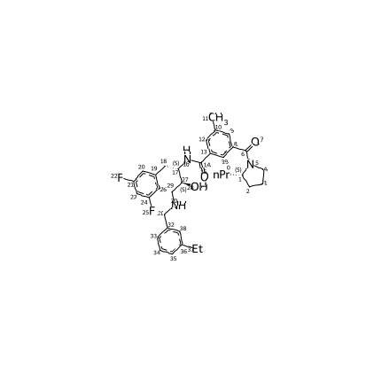 CCC[C@H]1CCCN1C(=O)c1cc(C)cc(C(=O)N[C@@H](Cc2cc(F)cc(F)c2)[C@@H](O)CNCc2cccc(CC)c2)c1